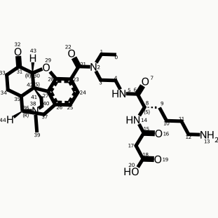 CCN(CCNC(=O)[C@H](CCCCN)NC(=O)CC(=O)O)C(=O)c1ccc2c3c1O[C@H]1C(=O)CCC4[C@@H](C2)N(C)CC[C@@]341